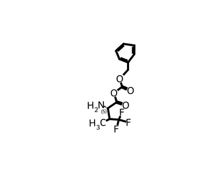 CC([C@H](N)C(=O)OC(=O)OCc1ccccc1)C(F)(F)F